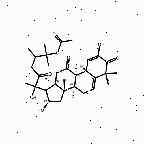 CC(=O)OC(C)(C)C(C)CC(=O)C(C)(O)C1[C@H](O)C[C@@]2(C)[C@@H]3CC=C4[C@@H](C=C(O)C(=O)C4(C)C)[C@]3(C)C(=O)C[C@]12C